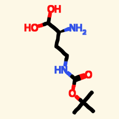 CC(C)(C)OC(=O)NCC[C@H](N)C(O)O